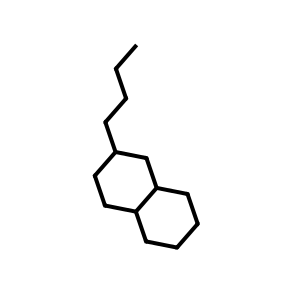 CCCCC1CCC2CCCCC2C1